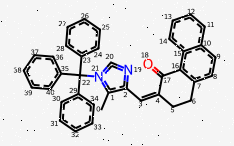 Cc1c(C=C2CCc3ccc4ccccc4c3C2=O)ncn1C(c1ccccc1)(c1ccccc1)c1ccccc1